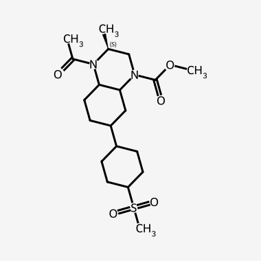 COC(=O)N1C[C@H](C)N(C(C)=O)C2CCC(C3CCC(S(C)(=O)=O)CC3)CC21